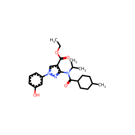 CCOC(=O)c1cn(-c2cccc(O)c2)nc1N(C(=O)C1CCC(C)CC1)C(C)C